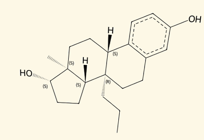 CCC[C@@]12CCc3cc(O)ccc3[C@H]1CC[C@@]1(C)[C@H]2CC[C@@H]1O